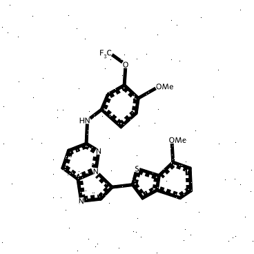 COc1ccc(Nc2ccc3ncc(-c4cc5cccc(OC)c5s4)n3n2)cc1OC(F)(F)F